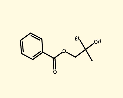 CCC(C)(O)COC(=O)c1ccccc1